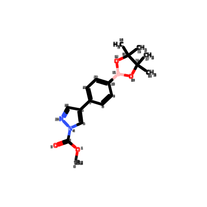 CC(C)(C)OC(=O)n1cc(-c2ccc(B3OC(C)(C)C(C)(C)O3)cc2)cn1